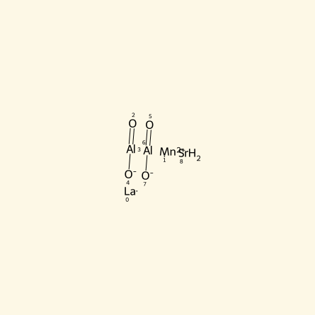 [La].[Mn+2].[O]=[Al][O-].[O]=[Al][O-].[SrH2]